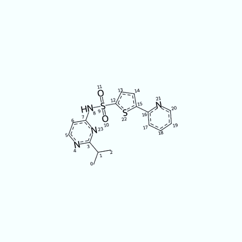 CC(C)c1nccc(NS(=O)(=O)c2ccc(-c3ccccn3)s2)n1